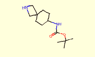 CC(C)(C)OC(=O)NC1CCC2(CC1)CNC2